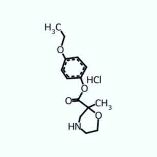 CCOc1ccc(OC(=O)C2(C)CNCCO2)cc1.Cl